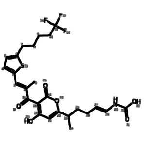 C/C(=C\c1ccc(CCCCC(F)(F)F)s1)C(=O)c1c(O)cc(C(C)CC/C=C/NC(=O)O)oc1=O